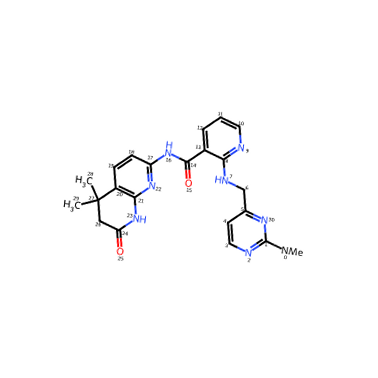 CNc1nccc(CNc2ncccc2C(=O)Nc2ccc3c(n2)NC(=O)CC3(C)C)n1